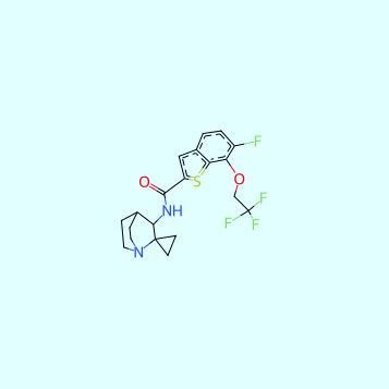 O=C(NC1C2CCN(CC2)C12CC2)c1cc2ccc(F)c(OCC(F)(F)F)c2s1